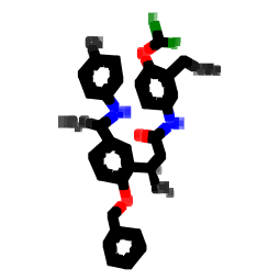 CNCc1cc(NC(=O)C[C@@H](C)c2cc(C(Nc3ccc(C#N)cc3)C(=O)O)ccc2OCc2ccccc2)ccc1OC(F)F